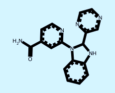 NC(=O)c1ccnc(N2c3ccccc3NC2c2cnccn2)c1